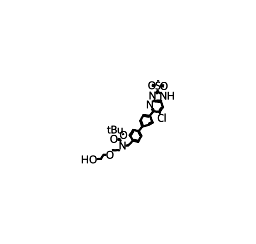 CC(C)(C)OC(=O)N(CCOCCO)Cc1ccc(-c2ccc(-c3nc4nc(S(C)(=O)=O)[nH]c4cc3Cl)cc2)cc1